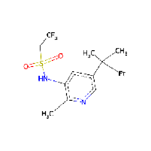 CCC(C)(C)c1cnc(C)c(NS(=O)(=O)CC(F)(F)F)c1